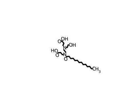 CCCCCCCCCCCCCC(=O)N(CCC(=O)O)CCN(CCO)CCC(=O)O